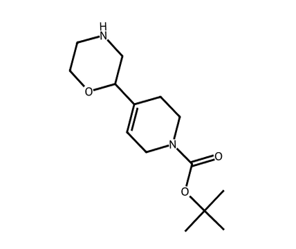 CC(C)(C)OC(=O)N1CC=C(C2CNCCO2)CC1